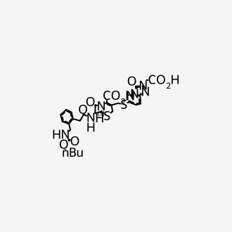 CCCCOC(=O)NCc1ccccc1CC(=O)NC1C(=O)N2C(C(=O)O)=C(CSc3ccc4nn(CC(=O)O)c(=O)n4n3)CS[C@@H]12